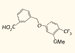 COc1cc(OCc2cccc(C(=O)O)c2)ccc1C(F)(F)F